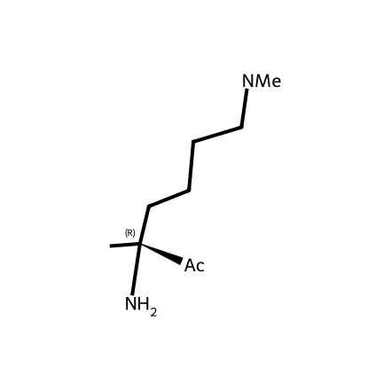 CNCCCC[C@@](C)(N)C(C)=O